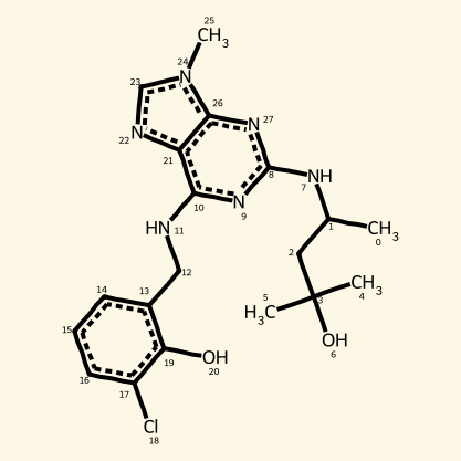 CC(CC(C)(C)O)Nc1nc(NCc2cccc(Cl)c2O)c2ncn(C)c2n1